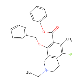 Cc1c(F)c2c(c(OCc3ccccc3)c1C(=O)Oc1ccccc1)CN(CC(C)(C)C)CC2